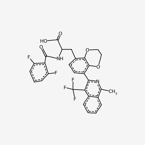 Cc1nc(-c2ccc(CC(NC(=O)c3c(F)cccc3F)C(=O)O)c3c2OCCO3)c(C(F)(F)F)c2ccccc12